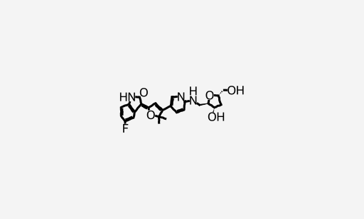 CC1(C)O/C(=C2/C(=O)Nc3ccc(F)cc32)C=C1c1ccc(NC[C@H]2O[C@H](CO)C[C@@H]2O)nc1